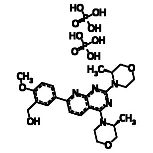 COc1ccc(-c2ccc3c(N4CCOC[C@@H]4C)nc(N4CCOC[C@@H]4C)nc3n2)cc1CO.O=P(O)(O)O.O=P(O)(O)O